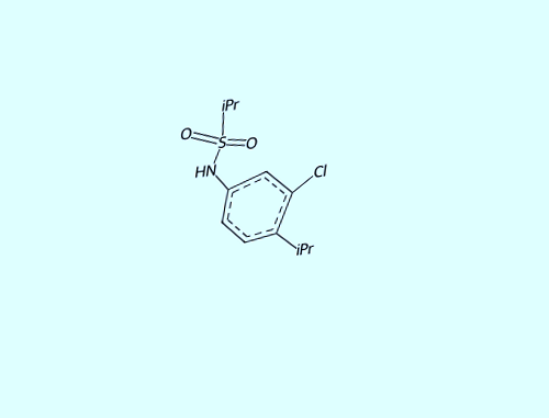 CC(C)c1ccc(NS(=O)(=O)C(C)C)cc1Cl